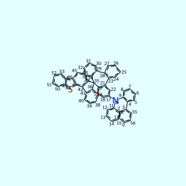 c1ccc(-c2ccccc2N(c2ccccc2)c2ccc3c(c2)-c2ccccc2-c2ccccc2C32c3ccccc3-c3c2ccc2c3sc3ccccc32)cc1